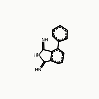 N=C1NC(=N)c2c1cccc2-c1ccccc1